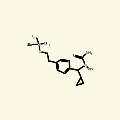 CCCN(C(N)=S)C(c1ccc(CCO[Si](C)(C)C(C)(C)C)cc1)C1CC1